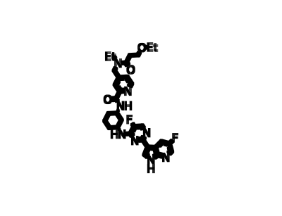 CCOCCC(=O)N(CC)Cc1ccnc(C(=O)N[C@@H]2CCC[C@H](Nc3nc(-c4c[nH]c5ncc(F)cc45)ncc3F)C2)c1